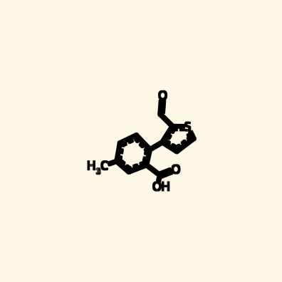 Cc1ccc(-c2ccsc2C=O)c(C(=O)O)c1